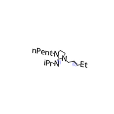 CC/C=C/CN1CCN(CCCCC)/C1=N\C(C)C